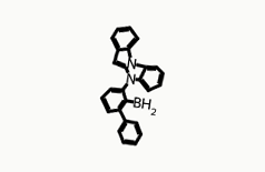 Bc1c(-c2ccccc2)cccc1-n1c2ccccc2n2c3ccccc3cc12